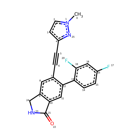 Cn1ccc(C#Cc2cc3c(cc2-c2ccc(F)cc2F)C(=O)NC3)n1